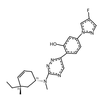 CC[C@]1(C)C=CC[C@H](N(C)c2ncc(-c3ccc(-n4cc(F)cn4)cc3O)nn2)C1